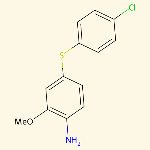 COc1cc(Sc2ccc(Cl)cc2)ccc1N